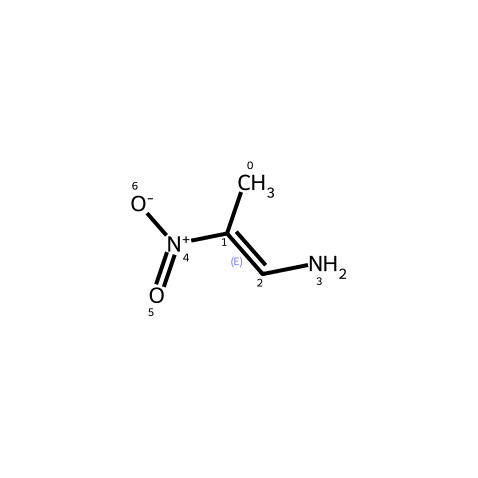 C/C(=C\N)[N+](=O)[O-]